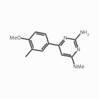 CNc1cc(-c2ccc(OC)c(C)c2)nc(N)n1